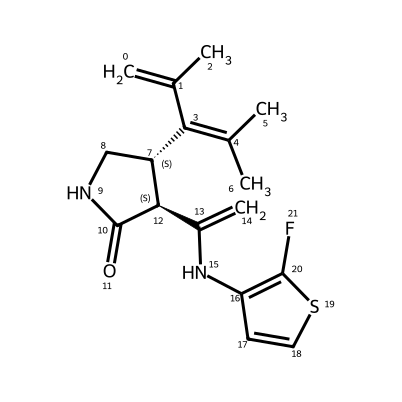 C=C(C)C(=C(C)C)[C@H]1CNC(=O)[C@@H]1C(=C)Nc1ccsc1F